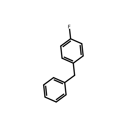 Fc1ccc(Cc2ccccc2)cc1